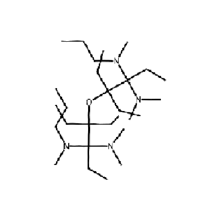 CCCN(C)C(CC)(N(C)C)C(CC)(CC)OC(CC)(CC)C(CC)(N(C)C)N(C)CCC